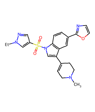 CCn1cc(S(=O)(=O)n2cc(C3=CCN(C)CC3)c3cc(-c4ncco4)ccc32)cn1